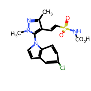 Cc1nn(C)c(-n2ccc3cc(Cl)ccc32)c1C=CS(=O)(=O)NC(=O)O